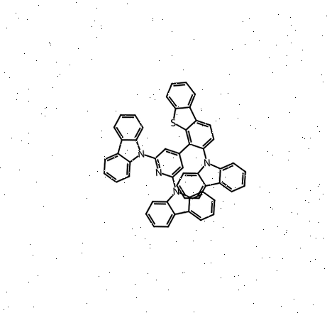 c1ccc2c(c1)sc1c(-c3cc(-n4c5ccccc5c5ccccc54)nc(-n4c5ccccc5c5ccccc54)c3)c(-n3c4ccccc4c4ccccc43)ccc12